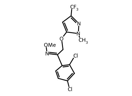 CON=C(COc1cc(C(F)(F)F)nn1C)c1ccc(Cl)cc1Cl